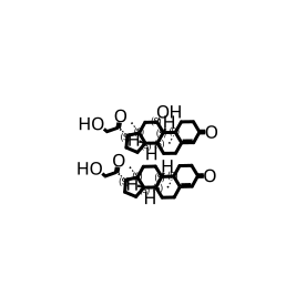 C[C@]12CC[C@H]3[C@@H](CCC4=CC(=O)CC[C@@]43C)[C@@H]1CC[C@@H]2C(=O)CO.C[C@]12C[C@H](O)[C@H]3[C@@H](CCC4=CC(=O)CC[C@@]43C)[C@@H]1CC[C@@H]2C(=O)CO